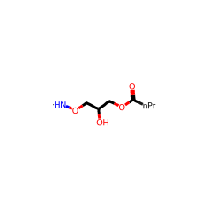 CCCC(=O)OCC(O)CO[NH]